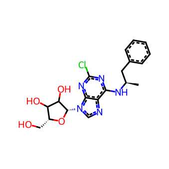 C[C@H](Cc1ccccc1)Nc1nc(Cl)nc2c1ncn2[C@@H]1O[C@H](CO)C(O)C1O